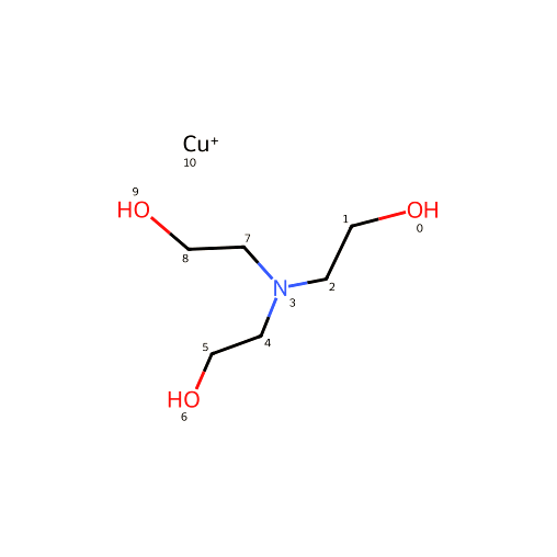 OCCN(CCO)CCO.[Cu+]